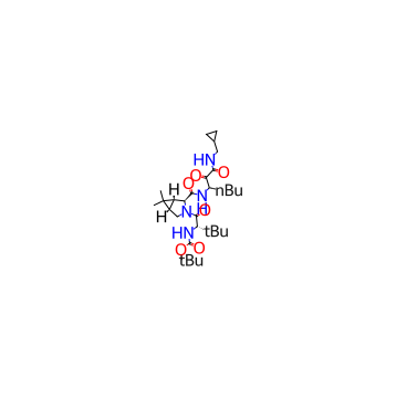 CCCCC(NC(=O)[C@@H]1[C@@H]2[C@H](CN1C(=O)[C@@H](NC(=O)OC(C)(C)C)C(C)(C)C)C2(C)C)C(=O)C(=O)NCC1CC1